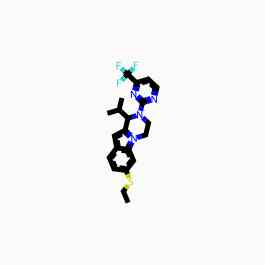 CCSc1ccc2cc3n(c2c1)CCN(c1nccc(C(F)(F)F)n1)C3C(C)C